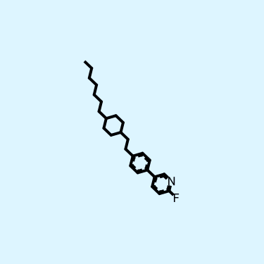 CCCCCCCC1CCC(CCc2ccc(-c3ccc(F)nc3)cc2)CC1